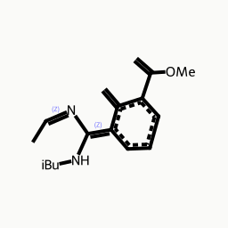 C=C(OC)c1ccc/c(=C(/N=C\C)NC(C)CC)c1=C